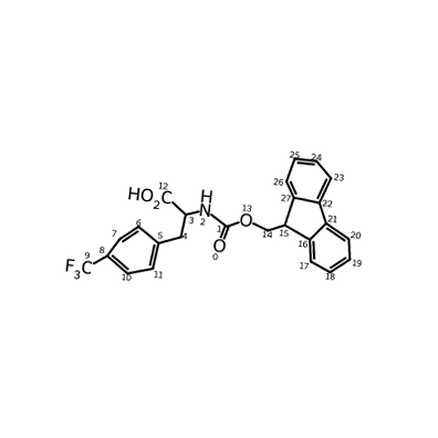 O=C(NC(Cc1ccc(C(F)(F)F)cc1)C(=O)O)OCC1c2ccccc2-c2ccccc21